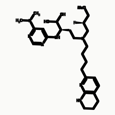 COC[C@@H](F)CN(CCCCc1ccc2c(n1)NCCC2)CC[C@H](Nc1cc(N(C)C)ncn1)C(O)O